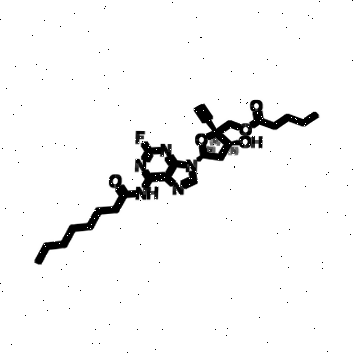 C#C[C@]1(COC(=O)CCCC)O[C@@H](n2cnc3c(NC(=O)CCCCCCC)nc(F)nc32)C[C@@H]1O